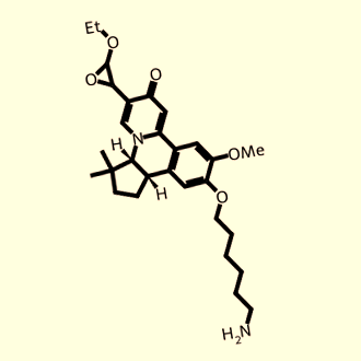 CCOC1OC1c1cn2c(cc1=O)-c1cc(OC)c(OCCCCCCN)cc1[C@@H]1CCC(C)(C)[C@@H]12